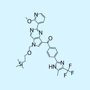 COc1ncccc1-c1ncc2c(n1)c(C(=O)c1ccc(-c3nc(C(F)(F)F)c(C)[nH]3)cc1)cn2COCC[Si](C)(C)C